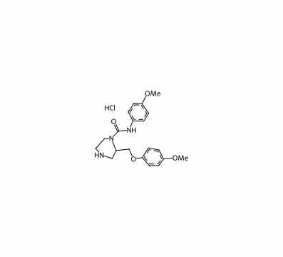 COc1ccc(NC(=O)N2CCNCC2COc2ccc(OC)cc2)cc1.Cl